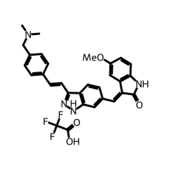 COc1ccc2c(c1)/C(=C\c1ccc3c(C=Cc4ccc(CN(C)C)cc4)n[nH]c3c1)C(=O)N2.O=C(O)C(F)(F)F